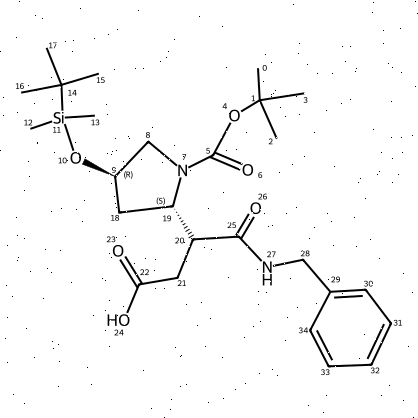 CC(C)(C)OC(=O)N1C[C@H](O[Si](C)(C)C(C)(C)C)C[C@H]1C(CC(=O)O)C(=O)NCc1ccccc1